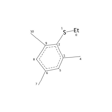 CCSc1c(C)cc(C)cc1C